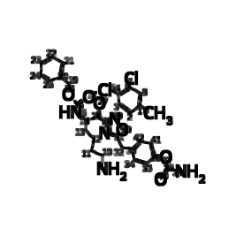 Cc1ccc(Cl)c(Cl)c1.NCCCCC(NC(=O)OCc1ccccc1)C(=O)c1noc(Cc2ccc(OC(N)=O)cc2)n1